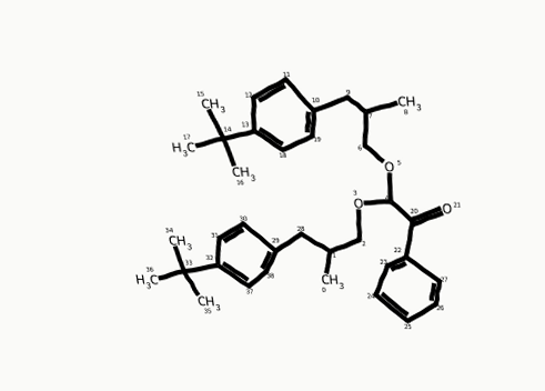 CC(COC(OCC(C)Cc1ccc(C(C)(C)C)cc1)C(=O)c1ccccc1)Cc1ccc(C(C)(C)C)cc1